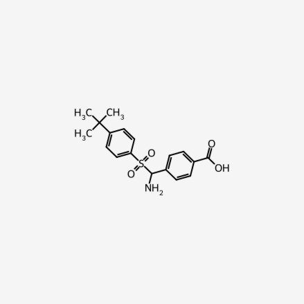 CC(C)(C)c1ccc(S(=O)(=O)C(N)c2ccc(C(=O)O)cc2)cc1